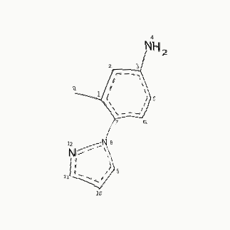 Cc1cc(N)ccc1-n1cccn1